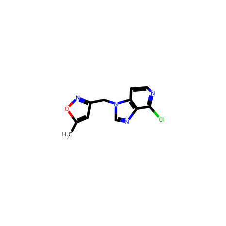 Cc1cc(Cn2cnc3c(Cl)nccc32)no1